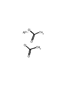 CC(=O)[O-].CC(=O)[O-].[Al+2]